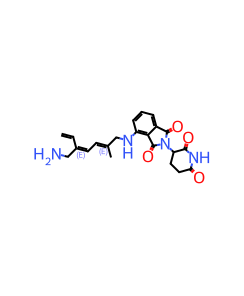 C=C/C(=C\C=C(/C)CNc1cccc2c1C(=O)N(C1CCC(=O)NC1=O)C2=O)CN